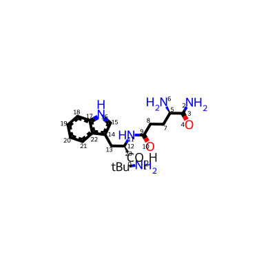 CC(C)(C)N.NC(=O)[C@H](N)CCC(=O)N[C@H](Cc1c[nH]c2ccccc12)C(=O)O